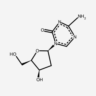 Nc1ncn([C@H]2C[C@@H](O)[C@@H](CO)O2)c(=O)n1